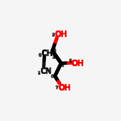 CC#N.OCC(O)CO